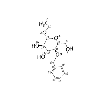 CCO[C@@H]1O[C@H](CO)[C@@H](OCc2ccccc2)[C@H](O)[C@H]1O